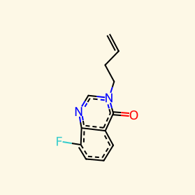 C=CCCn1cnc2c(F)cccc2c1=O